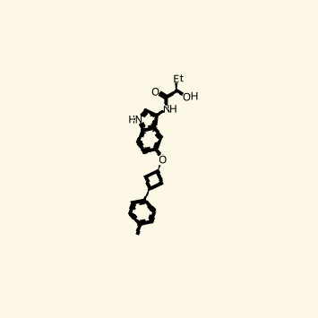 CC[C@@H](O)C(=O)Nc1c[nH]c2ccc(O[C@H]3C[C@H](c4ccc(C)cc4)C3)cc12